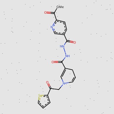 COC(=O)c1ccc(C(=O)NNC(=O)C2=CN(CC(=O)c3cccs3)C=CC2)cn1